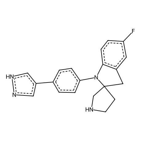 Fc1ccc2c(c1)CC1(CCNC1)N2c1ccc(-c2cn[nH]c2)cc1